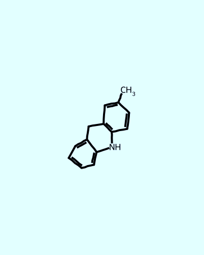 Cc1ccc2c(c1)Cc1ccccc1N2